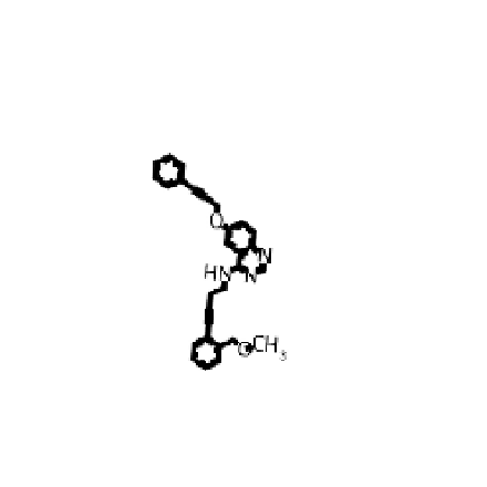 COCc1ccccc1C#CCCNc1ncnc2ccc(OCC#Cc3ccccc3)cc12